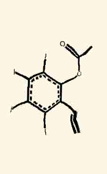 C=Cc1c(I)c(I)c(I)c(I)c1OC(C)=O